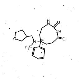 CN(CC1CCOC1)[C@]1(c2ccccc2)CCNC(=O)NC(=O)CC1